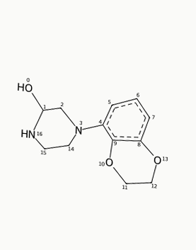 OC1CN(c2cccc3c2OCCO3)CCN1